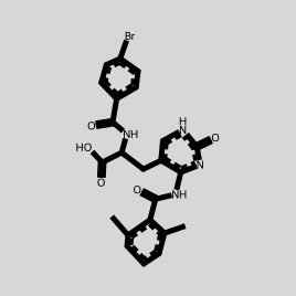 Cc1cccc(C)c1C(=O)Nc1nc(=O)[nH]cc1CC(NC(=O)c1ccc(Br)cc1)C(=O)O